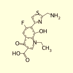 CCn1cc(C(=O)O)c(=O)c2cc(F)c(-c3csc(CN)n3)c(O)c21